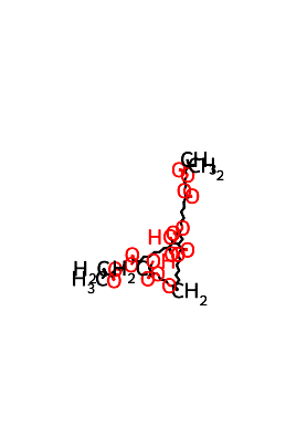 C=C(CCCCCOC(=O)C(CC(=O)OCCCCCC(=O)OCCOC(=O)C(=C)C)C(O)C(=O)CCCCCCC(=O)OCCOC(=O)C(=C)C)OCCOC(=O)C(=C)O